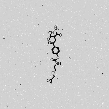 CC(=O)C(CC(=O)c1ccc(OC(=O)NCCOCC2CO2)cc1)C(C)=O